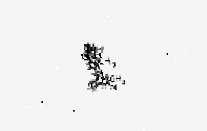 COc1nc(C2=NN(c3ccc(C#N)c(C)c3)[C@@H](C3CCCC3)C2)ccc1C(=O)Nc1nnn[nH]1